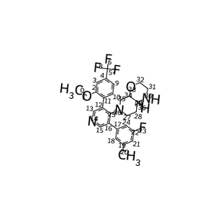 COc1cc(C(F)(F)F)ccc1-c1cncc(-c2cc(C)cc(F)c2)c1N1CC[C@H]2NCCOC2C1